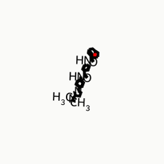 CN(C)C1CCN(c2ccc(NC(=O)c3ccc(NC(=O)C45CC6CC(CC(C6)C4)C5)cc3)cc2)C1